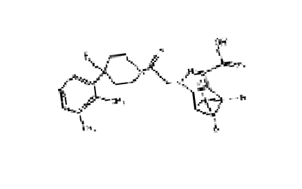 Cc1cccc(C2(F)CCN(C(=O)Cn3nc(C(=O)O)c4c3C3[C@@H]5[C@H]4[C@]35C)CC2)c1C